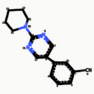 N#Cc1cccc(-c2cnc(N3CCCCC3)nc2)c1